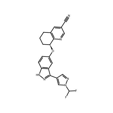 N#Cc1cnc2c(c1)CCC[C@@H]2Oc1ccc2[nH]nc(-c3cnn(C(F)F)c3)c2c1